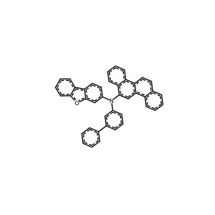 c1ccc(-c2cccc(N(c3ccc4c(c3)oc3ccccc34)c3cc4c5ccccc5ccc4c4ccccc34)c2)cc1